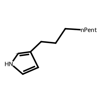 CCCCCCCCc1[c][nH]cc1